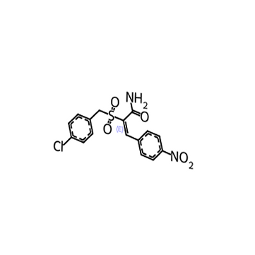 NC(=O)/C(=C\c1ccc([N+](=O)[O-])cc1)S(=O)(=O)Cc1ccc(Cl)cc1